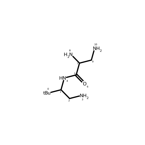 CC(C)(C)C(CN)NC(=O)C(N)CN